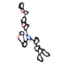 c1cc(-c2ccc3c4ccccc4c4ccccc4c3c2)cc(-c2nc(-c3ccc4c(c3)oc3ccc(-c5cccc6c5oc5ccccc56)cc34)nc(-c3cccc4c3-c3ccccc3OC4)n2)c1